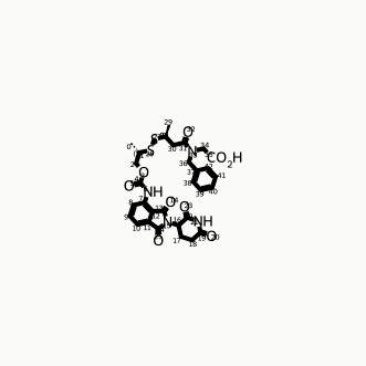 C[C@@H](COC(=O)Nc1cccc2c1C(=O)N(C1CCC(=O)NC1=O)C2=O)SS[C@@H](C)CC(=O)N(CC(=O)O)Cc1ccccc1